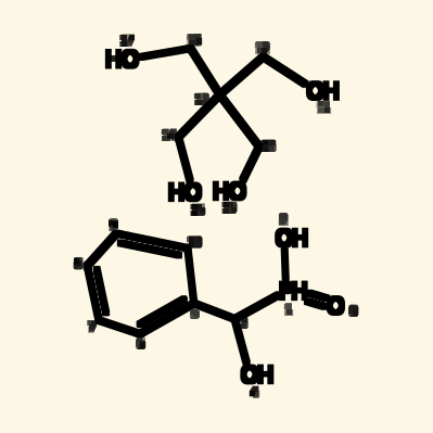 O=[PH](O)C(O)c1ccccc1.OCC(CO)(CO)CO